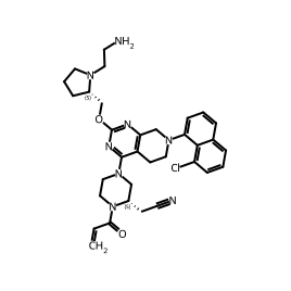 C=CC(=O)N1CCN(c2nc(OC[C@@H]3CCCN3CCN)nc3c2CCN(c2cccc4cccc(Cl)c24)C3)C[C@@H]1CC#N